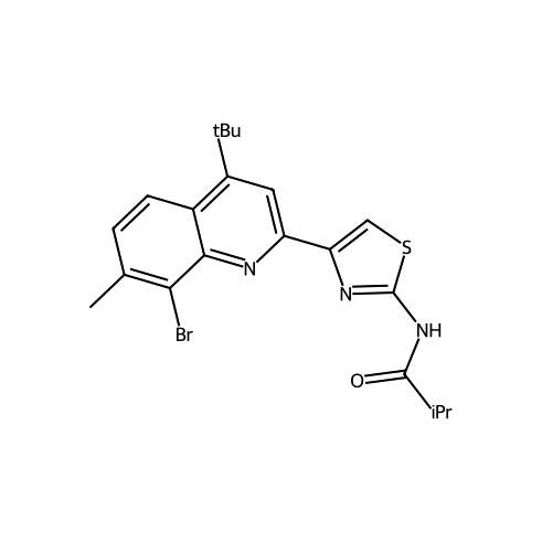 Cc1ccc2c(C(C)(C)C)cc(-c3csc(NC(=O)C(C)C)n3)nc2c1Br